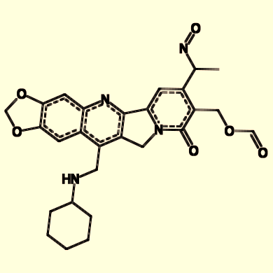 CC(N=O)c1cc2n(c(=O)c1COC=O)Cc1c-2nc2cc3c(cc2c1CNC1CCCCC1)OCO3